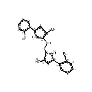 N#Cc1cc(-c2ccccc2F)[nH]c1NSc1[nH]c(-c2ccccc2F)cc1C#N